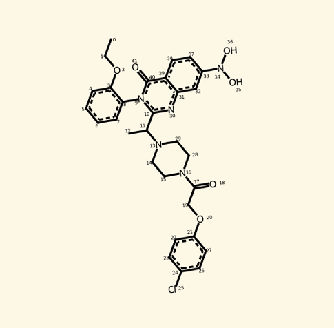 CCOc1ccccc1-n1c(C(C)N2CCN(C(=O)COc3ccc(Cl)cc3)CC2)nc2cc(N(O)O)ccc2c1=O